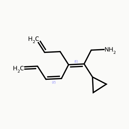 C=C/C=C\C(CC=C)=C(\CN)C1CC1